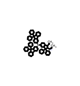 C=CC1=C(/C=C\C)C(c2ccccc2)(c2ccccc2)c2cc(N(c3ccc4c(c3)-c3ccccc3C4(c3ccccc3)c3ccccc3)c3ccc4c(c3)C(c3ccccc3)(c3ccccc3)c3ccccc3-4)ccc21